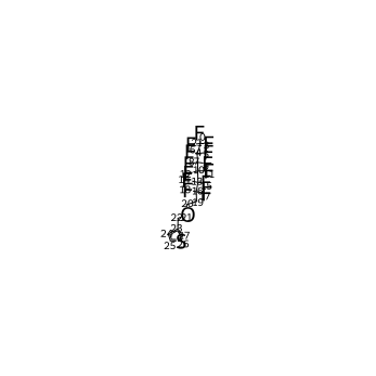 FC(F)(F)C(F)(F)C(F)(F)C(F)(F)C(F)(F)C(F)(F)CCOCc1ccsc1